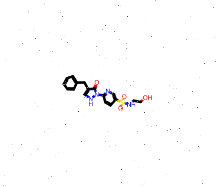 O=c1c(Cc2ccccc2)c[nH]n1-c1ccc(S(=O)(=O)NCCO)cn1